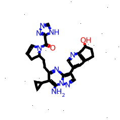 Nc1c(C2CC2)c(CCC2CC=CN2C(=O)c2nnc[nH]2)nc2c(-c3cnc4c(c3)CCC4O)cnn12